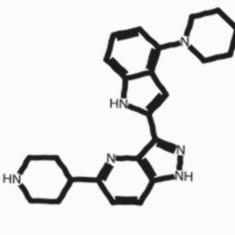 c1cc(N2CCCCC2)c2cc(-c3n[nH]c4ccc(C5CCNCC5)nc34)[nH]c2c1